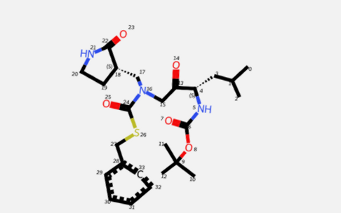 CC(C)C[C@H](NC(=O)OC(C)(C)C)C(=O)CN(C[C@@H]1CCNC1=O)C(=O)SCc1ccccc1